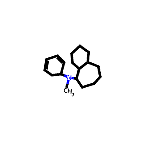 CN(C1C=CC=CC1)C1CCCCC2CCCCC21